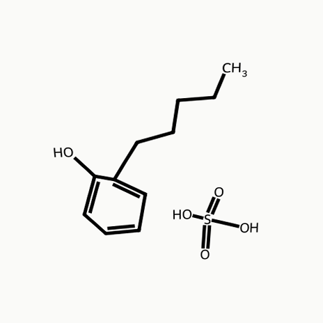 CCCCCc1ccccc1O.O=S(=O)(O)O